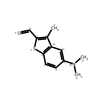 Cc1c(C=O)sc2ccc(N(C)C)cc12